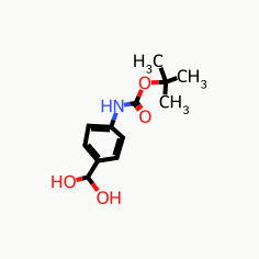 CC(C)(C)OC(=O)Nc1ccc(C(O)O)cc1